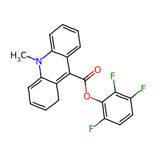 CN1C2=CC=CCC2=C(C(=O)Oc2c(F)ccc(F)c2F)c2ccccc21